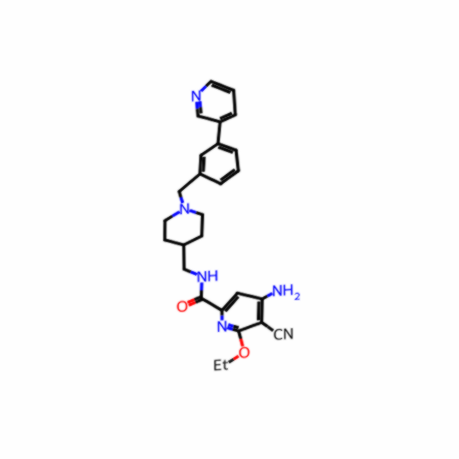 CCOc1nc(C(=O)NCC2CCN(Cc3cccc(-c4cccnc4)c3)CC2)cc(N)c1C#N